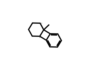 CC12[CH]CCC[C]1c1ccccc12